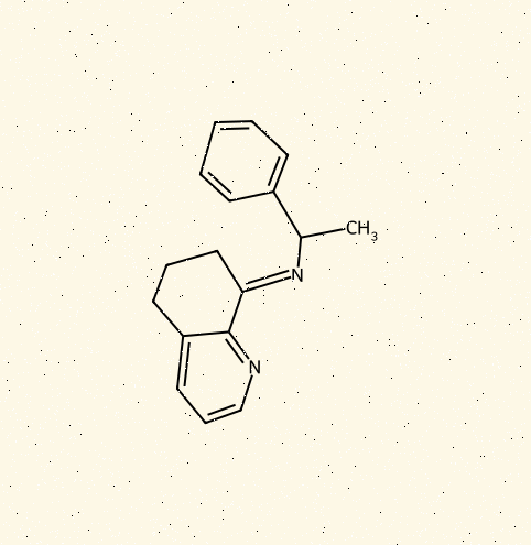 CC(N=C1CCCc2cccnc21)c1ccccc1